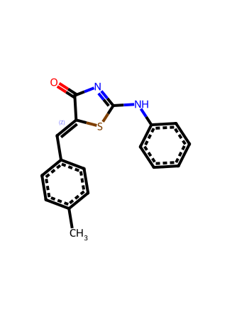 Cc1ccc(/C=C2\SC(Nc3ccccc3)=NC2=O)cc1